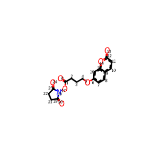 O=C(CCCOc1ccc2ccc(=O)oc2c1)ON1C(=O)CCC1=O